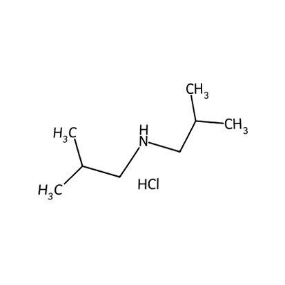 CC(C)CNCC(C)C.Cl